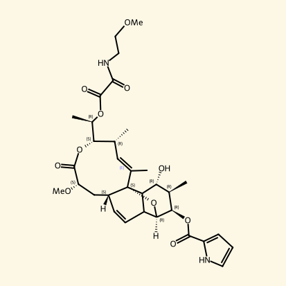 COCCNC(=O)C(=O)O[C@H](C)[C@H]1OC(=O)[C@@H](OC)C[C@H]2C=CC3C4[C@H](O)[C@@H](C)[C@@H](OC(=O)c5ccc[nH]5)[C@@H]3O[C@]42/C(C)=C/[C@H]1C